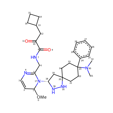 COC1C=CN=C(CNC(=O)C(=O)CC2CCC2)N1[C@@H]1CC2(CCC(c3ccccc3)(N(C)C)CC2)NN1